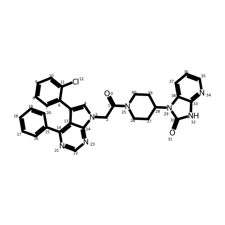 O=C(Cn1cc(-c2ccccc2Cl)c2c(-c3ccccc3)ncnc21)N1CCC(n2c(=O)[nH]c3ncccc32)CC1